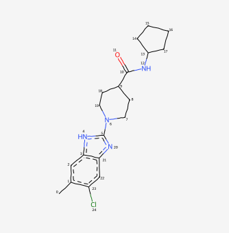 Cc1cc2[nH]c(N3CCC(C(=O)NC4CCCC4)CC3)nc2cc1Cl